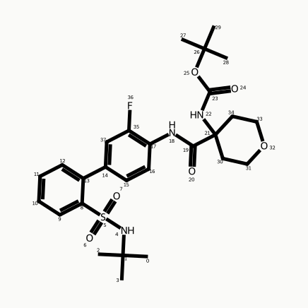 CC(C)(C)NS(=O)(=O)c1ccccc1-c1ccc(NC(=O)C2(NC(=O)OC(C)(C)C)CCOCC2)c(F)c1